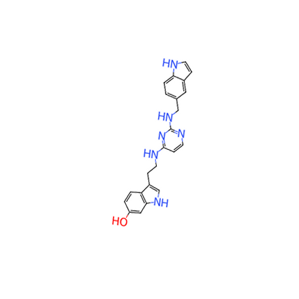 Oc1ccc2c(CCNc3ccnc(NCc4ccc5[nH]ccc5c4)n3)c[nH]c2c1